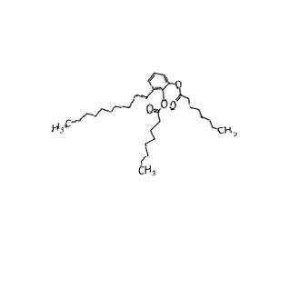 CCCCCCCCCCc1cccc(OC(=O)CCCCCCC)c1OC(=O)CCCCCCC